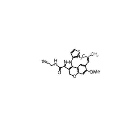 COc1cc2c(cc1C=C(C)C)-c1c(c(C(=O)NCC(C)(C)C)nn1-c1ccsc1)CO2